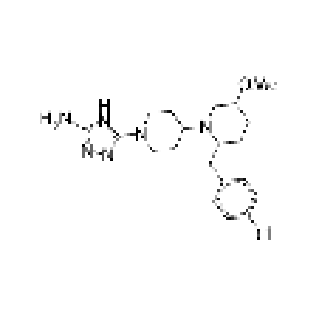 COC1CCC(Cc2ccc(Cl)cc2)N(C2CCN(c3nnc(N)[nH]3)CC2)C1